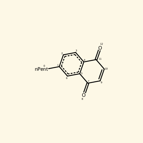 CCCCCc1ccc2c(c1)C(=O)C=CC2=O